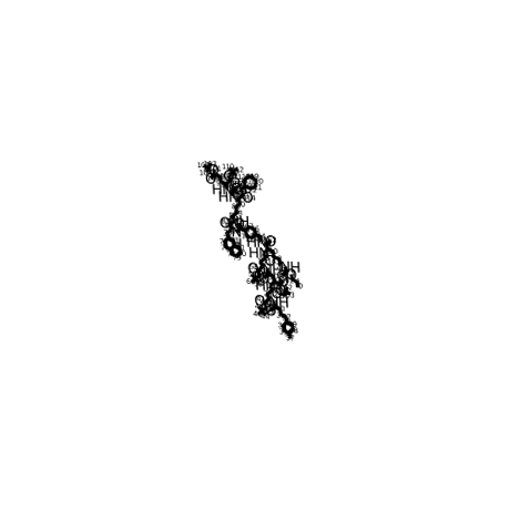 C=CCOC(=O)NCCCCC(NC(=O)CC(NC(=O)CC(NC(=O)CC(NC(=O)CCCc1ccc(C)cc1)C(=O)OC(C)(C)C)C(=O)OC(C)(C)C)C(=O)OC(C)(C)C)C(=O)NCC1CCC(C(=O)NC(Cc2ccc3ccccc3c2)C(=O)NCCCCC(NC(=O)NC(CCC(=O)OC(C)(C)C)C(=O)OC(C)(C)C)C(=O)OC2CCCCCC2)CC1